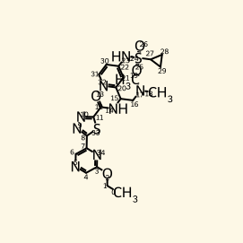 CCOc1cncc(-c2nnc(C(=O)NC(CN(C)C)c3cc(NS(=O)(=O)C4CC4)ccn3)s2)n1